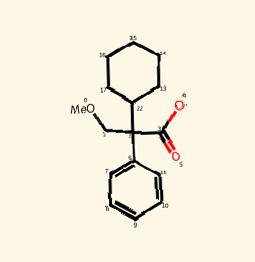 COCC(C([O])=O)(c1ccccc1)C1CCCCC1